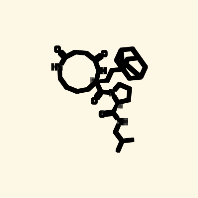 CC(C)CNC(=O)[C@@H]1CCCN1C(=O)[C@]1(CCC23CC4CC(CC(C4)C2)C3)CCCCNC(=O)CCC(=O)N1